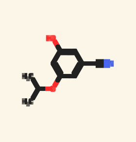 CC(C)Oc1cc(O)cc(C#N)c1